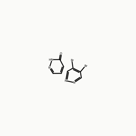 Brc1cnncc1Br.O=c1cccn[nH]1